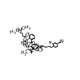 CC(SC1COC(C=CC=Cc2ccc(C#N)cc2F)OC1)C(Cn1cncn1)(OC(=O)c1ccccc1COC(=O)CCCN(C)C)c1ccc(F)cc1F